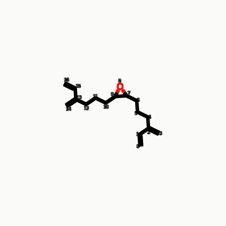 C=CC(=C)CCCC1OC1CCCC(=C)C=C